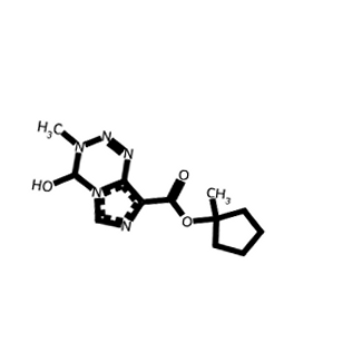 CN1N=Nc2c(C(=O)OC3(C)CCCC3)ncn2C1O